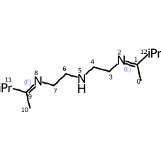 C/C(=N\CCNCC/N=C(\C)C(C)C)C(C)C